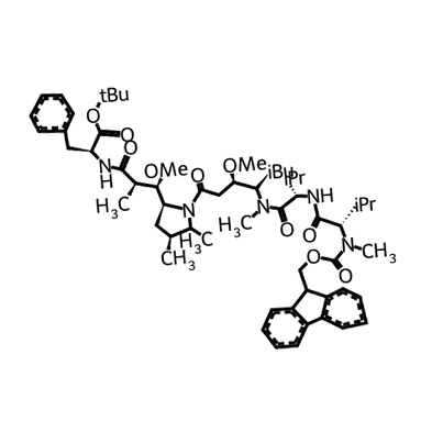 CC[C@H](C)C([C@@H](CC(=O)N1C(C)[C@@H](C)C[C@H]1[C@H](OC)[C@@H](C)C(=O)N[C@@H](Cc1ccccc1)C(=O)OC(C)(C)C)OC)N(C)C(=O)[C@@H](NC(=O)[C@H](C(C)C)N(C)C(=O)OCC1c2ccccc2-c2ccccc21)C(C)C